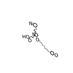 COc1ccc(CCCCCCCCOc2ccc(SCc3cccc(N(C)C)c3)nc2C=CC(=O)O)cc1